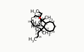 CCCC(C)(C)C1CCCCCCC1(N1CCCCCCN1)C(C)(C)CCC